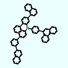 c1ccc(-c2ccc(-c3cccc4ccccc34)cc2N(c2ccc(-c3cccc(-c4ccc5ccccc5c4)c3)cc2)c2ccc(-c3cc4ccccc4c4ccccc34)cc2)cc1